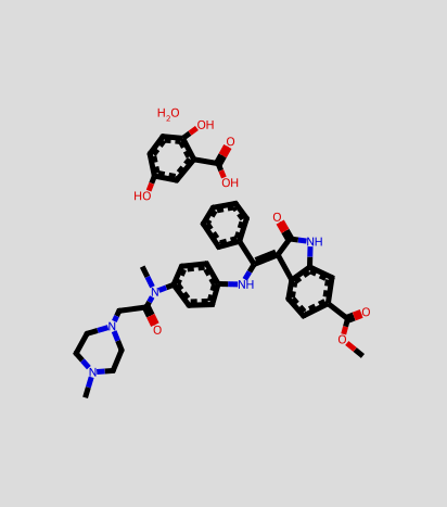 COC(=O)c1ccc2c(c1)NC(=O)C2=C(Nc1ccc(N(C)C(=O)CN2CCN(C)CC2)cc1)c1ccccc1.O.O=C(O)c1cc(O)ccc1O